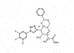 COC(=O)[C@@H](O)[C@@H]1OC2COC(c3ccccc3)O[C@@H]2C(n2cc(-c3cc(F)c(F)c(F)c3)nn2)C1OC(C)=O